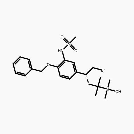 CC(C)(C[C@@H](CBr)c1ccc(OCc2ccccc2)c(NS(C)(=O)=O)c1)[Si](C)(C)O